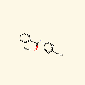 COc1ccccc1C(=O)Nc1ccc(OC(C)=O)cc1